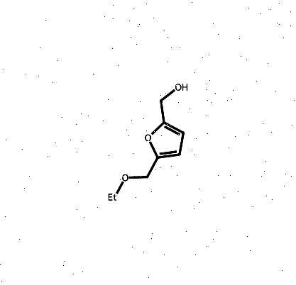 CCOCc1ccc(CO)o1